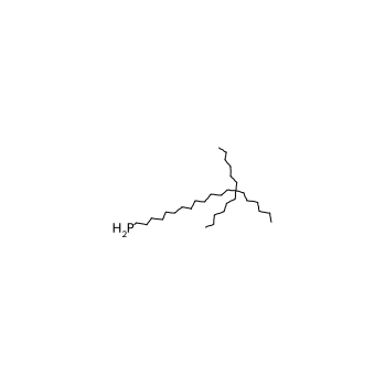 CCCCCCC(CCCCCC)(CCCCCC)CCCCCCCCCCCCCP